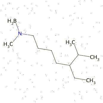 BN(C)CCCCC(CC)C(C)C